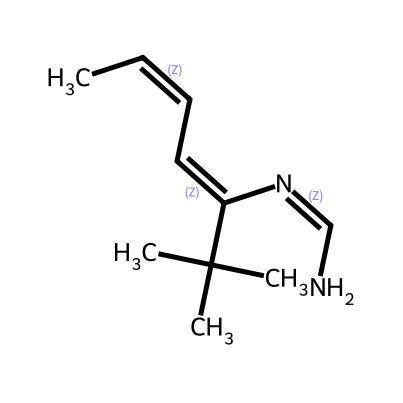 C\C=C/C=C(\N=C/N)C(C)(C)C